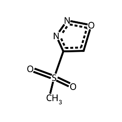 CS(=O)(=O)c1conn1